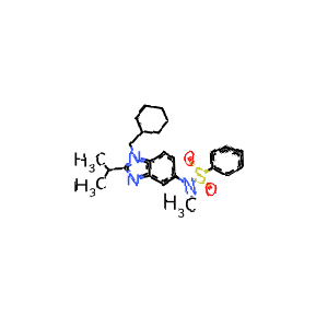 CC(C)c1nc2cc(N(C)S(=O)(=O)c3ccccc3)ccc2n1CC1CCCCC1